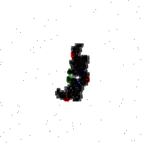 C=CC1=CCC(OC2=CCC(C3(C4=CC(C)CC=C4C)c4ccccc4C4C=CC(N(C5=CC=C(F)CC5)C5=CC6c7cc(N(C8=CCC(F)CC8)C8C=CC9=C(C8)C(C8=C(C)CCC(C)=C8)(c8ccc(Oc%10ccc(C=C)cc%10)cc8)C8C=CC=CC98)ccc7OC6CC5)=CC43)C=C2)C=C1